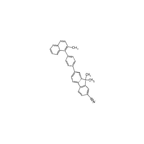 Cc1ccc2ccccc2c1-c1ccc(-c2ccc3c(c2)C(C)(C)c2cc(C#N)ccc2-3)cc1